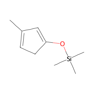 CC1=CCC(O[Si](C)(C)C)=C1